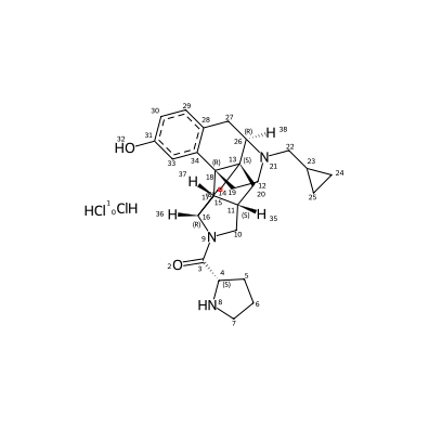 Cl.Cl.O=C([C@@H]1CCCN1)N1C[C@H]2C[C@@]34CC[C@@H]1[C@@H]2[C@@]31CCN(CC2CC2)[C@@H]4Cc2ccc(O)cc21